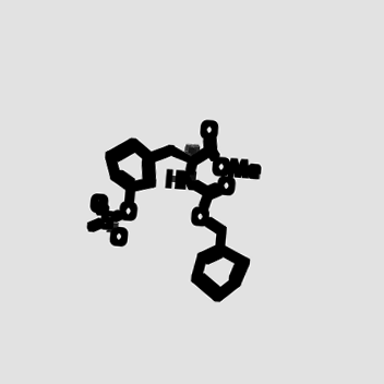 COC(=O)[C@H](Cc1cccc(OS(C)(=O)=O)c1)NC(=O)OCc1ccccc1